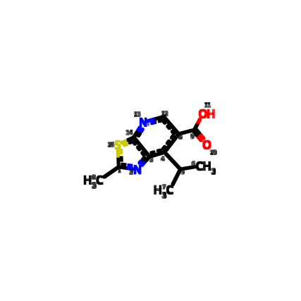 Cc1nc2c(C(C)C)c(C(=O)O)cnc2s1